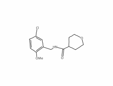 COc1ccc(Cl)cc1CNC(=O)C1CCOCC1